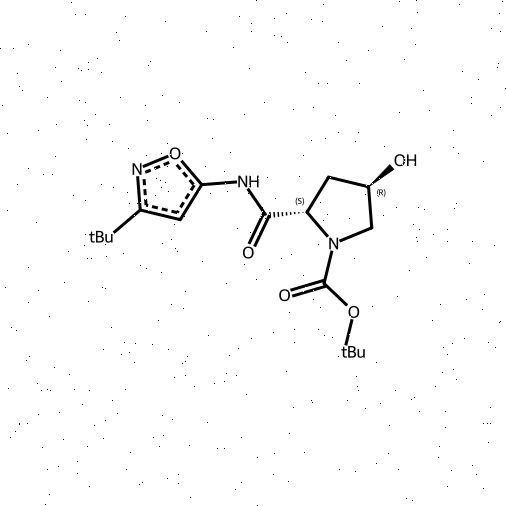 CC(C)(C)OC(=O)N1C[C@H](O)C[C@H]1C(=O)Nc1cc(C(C)(C)C)no1